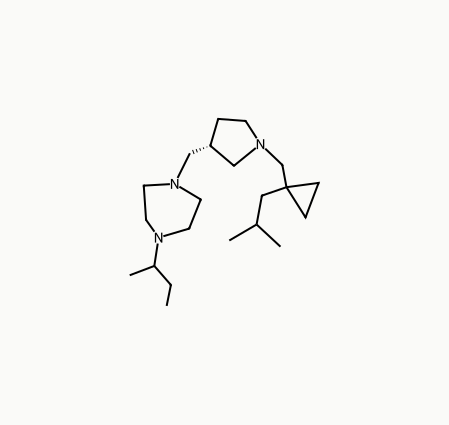 CCC(C)N1CCN(C[C@@H]2CCN(CC3(CC(C)C)CC3)C2)CC1